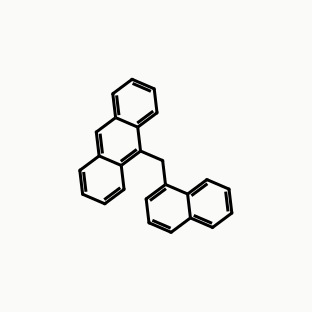 c1ccc2c(Cc3c4ccccc4cc4ccccc34)cccc2c1